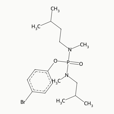 CC(C)CCN(C)P(=O)(Oc1ccc(Br)cc1)N(C)CC(C)C